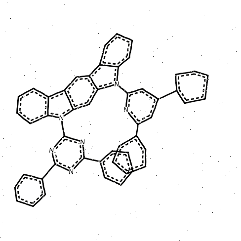 c1ccc(-c2cc(-c3ccccc3)nc(-n3c4ccccc4c4cc5c6ccccc6n(-c6nc(-c7ccccc7)nc(-c7ccccc7)n6)c5cc43)c2)cc1